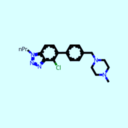 CCCn1nnc2c(Cl)c(-c3ccc(CN4CCN(C)CC4)cc3)ccc21